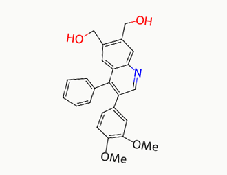 COc1ccc(-c2cnc3cc(CO)c(CO)cc3c2-c2ccccc2)cc1OC